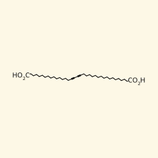 O=C(O)CCCCCCCCCCCCCCC#CC#CCCCCCCCCCCCCCCCCC(=O)O